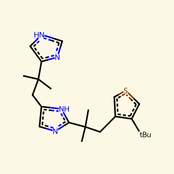 CC(C)(C)c1cscc1CC(C)(C)c1ncc(CC(C)(C)c2c[nH]cn2)[nH]1